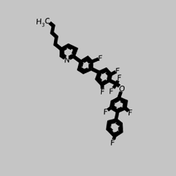 CCCCCc1ccc(-c2ccc(-c3cc(F)c(C(F)(F)Oc4cc(F)c(-c5ccc(F)cc5)c(F)c4)c(F)c3)c(F)c2)nc1